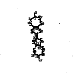 CC1CSC2=C(SS1)SC(=C1SC3=C(SSC(C)CS3)S1)S2